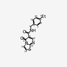 CCc1ccc(CNC(=O)c2cnc3sccn3c2=O)cc1